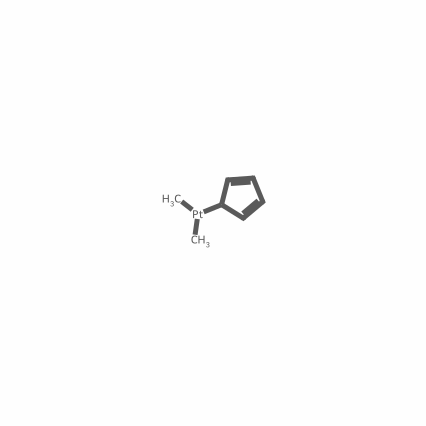 [CH3][Pt]([CH3])[CH]1C=CC=C1